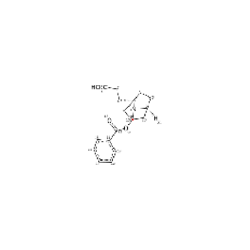 CN1[C@H]2CC[C@]1(CCC(=O)O)CC(OC(=O)c1ccccc1)C2